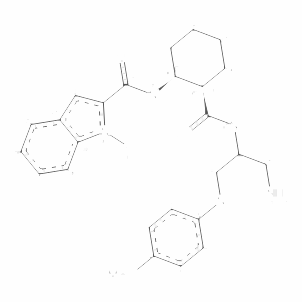 COc1ccc(NCC(CN)NC(=O)[C@@H]2CCCC[C@@H]2NC(=O)c2cc3ccccc3n2C)cc1